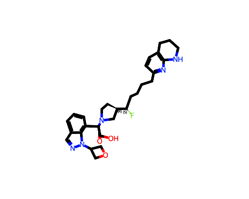 O=C(O)C(c1cccc2cnn(C3COC3)c12)N1CC[C@@H]([C@@H](F)CCCCc2ccc3c(n2)NCCC3)C1